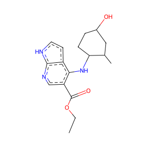 CCOC(=O)c1cnc2[nH]ccc2c1NC1CCC(O)CC1C